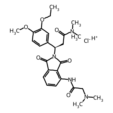 CCOc1cc([C@@H](CC(=O)N(C)C)N2C(=O)c3cccc(NC(=O)CN(C)C)c3C2=O)ccc1OC.[Cl-].[H+]